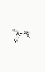 Cc1ccc2cc(Oc3ccc(COC(=O)N=C(N)N)cc3S(C)(=O)=O)ccc2n1.Cl.Cl